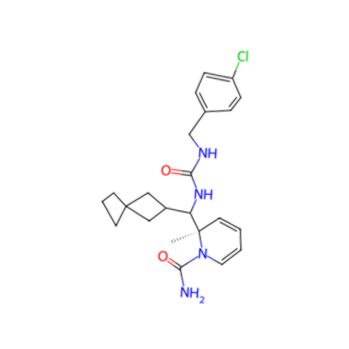 C[C@]1(C(NC(=O)NCc2ccc(Cl)cc2)C2CC3(CCC3)C2)C=CC=CN1C(N)=O